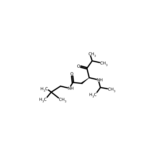 CC(C)N[C@@H](CC(=O)NCC(C)(C)C)C(=O)C(C)C